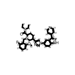 CCN(CC)C(=O)C1CCC(c2cn(-c3ccc4[nH]nc(-c5ccncc5)c4c3)nn2)CN1Cc1c(F)cccc1OC